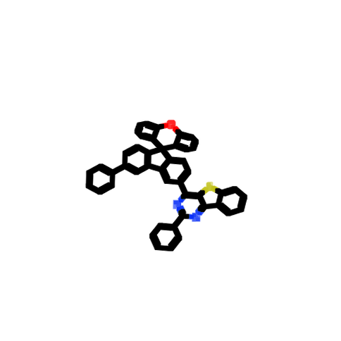 c1ccc(-c2ccc3c(c2)-c2cc(-c4nc(-c5ccccc5)nc5c4sc4ccccc45)ccc2C32c3ccccc3Oc3ccccc32)cc1